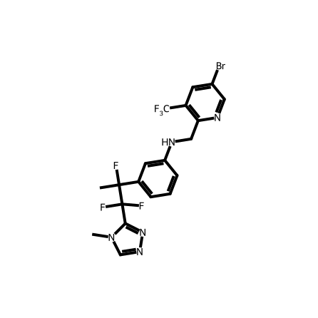 Cn1cnnc1C(F)(F)C(C)(F)c1cccc(NCc2ncc(Br)cc2C(F)(F)F)c1